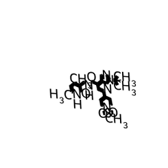 Cc1cc(C)c(CNC(=O)c2cc(C3=CCN(S(C)(=O)=O)CC3)nc3c2cnn3C(C)C)c(=O)[nH]1